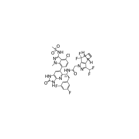 Cn1nc(NS(C)(=O)=O)c2c(Cl)ccc(-c3cc4[nH]c(=O)[nH]c4nc3[C@H](Cc3cc(F)cc(F)c3)NC(=O)Cn3nc(C(F)F)c4c3C(F)(F)[C@@H]3C#C[C@H]43)c21